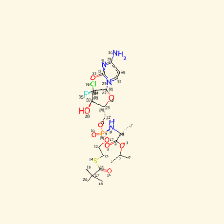 CC(C)OC(=O)[C@@H](C)N[P@](=O)(OCCSC(=O)C(C)(C)C)OC[C@H]1O[C@@H](n2ccc(N)nc2=O)[C@@](F)(Cl)[C@@H]1O